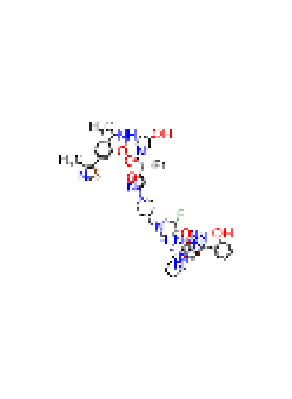 Cc1ncsc1-c1ccc([C@H](C)NC(=O)[C@@H]2C[C@@H](O)CN2C(=O)[C@@H](c2cc(N3CCC(CN4CC[C@@H](Oc5cc(N6C7CCC6CN(c6cc(-c8ccccc8O)nnc6N)C7)ccn5)[C@@H](F)C4)CC3)no2)C(C)C)cc1